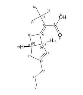 CCCC1=C[C@@H]2C(=C(C(=O)O)C(C)(C)C)C[C@H]2C1